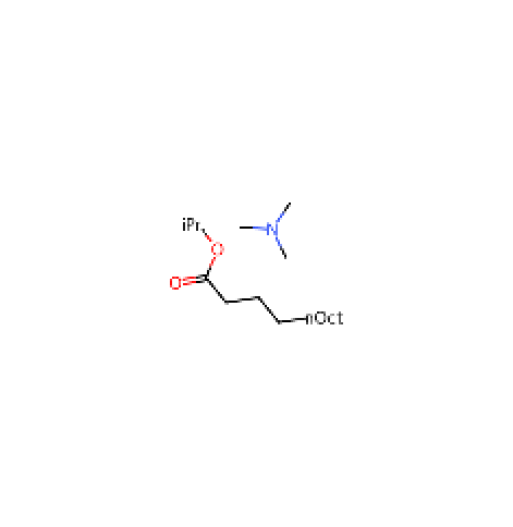 CCCCCCCCCCCC(=O)OC(C)C.CN(C)C